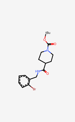 CC(C)(C)OC(=O)N1CCC(C(=O)NCc2ccccc2Br)CC1